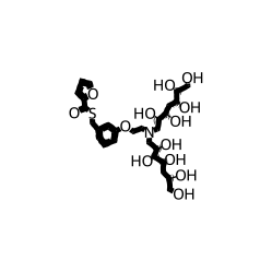 O=C(SCc1cccc(OCCN(C[C@H](O)[C@@H](O)[C@H](O)C[C@H](O)CO)C[C@H](O)[C@@H](O)C[C@H](O)[C@H](O)CO)c1)c1ccco1